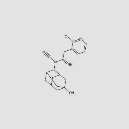 N#CN(C(=N)Cc1cccnc1Cl)C1C2CC3CC1CC(O)(C3)C2